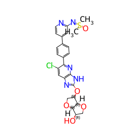 CS(C)(=O)=Nc1cc(-c2ccc(-c3nc4[nH]c(O[C@@H]5CO[C@H]6[C@@H]5OC[C@H]6O)nc4cc3Cl)cc2)ccn1